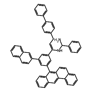 NC(N/C(=C\Cc1ccc(-c2ccccc2)cc1)c1cc(-c2ccc3ccccc3c2)cc(-c2c3ccccc3cc3c2ccc2ccccc23)c1)c1ccccc1